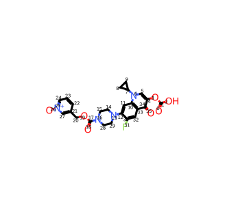 O=C(O)Oc1cn(C2CC2)c2cc(N3CCN(C(=O)OCc4ccc[n+]([O-])c4)CC3)c(F)cc2c1=O